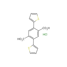 Cl.O=C(O)c1cc(-c2cccs2)c(C(=O)O)cc1-c1cccs1